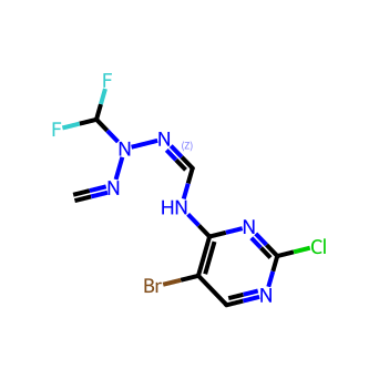 C=NN(/N=C\Nc1nc(Cl)ncc1Br)C(F)F